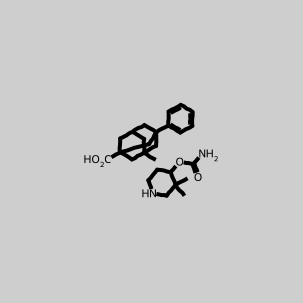 CC1(C)CNCCC1OC(N)=O.CC12CC3CC(C(=O)O)(C1)CC(c1ccccc1)(C3)C2